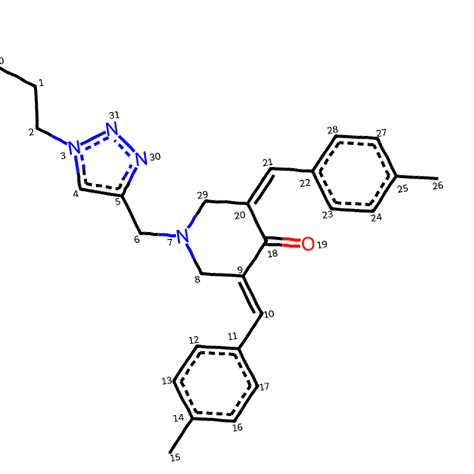 CCCn1cc(CN2CC(=Cc3ccc(C)cc3)C(=O)C(=Cc3ccc(C)cc3)C2)nn1